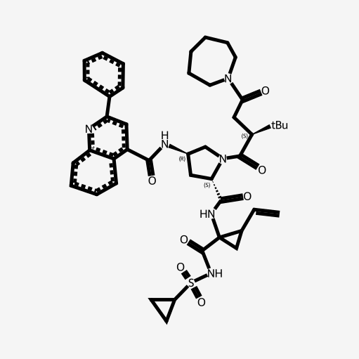 C=CC1CC1(NC(=O)[C@@H]1C[C@@H](NC(=O)c2cc(-c3ccccc3)nc3ccccc23)CN1C(=O)[C@@H](CC(=O)N1CCCCCC1)C(C)(C)C)C(=O)NS(=O)(=O)C1CC1